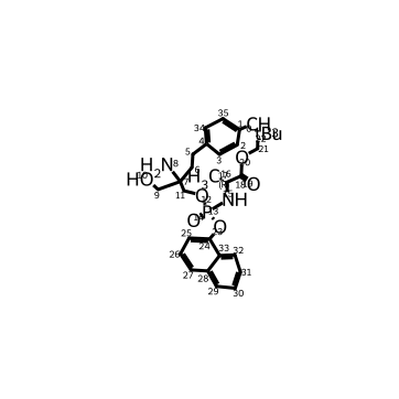 Cc1ccc(CCC(N)(CO)COP(=O)(N[C@H](C)C(=O)OCC(C)(C)C)Oc2cccc3ccccc23)cc1